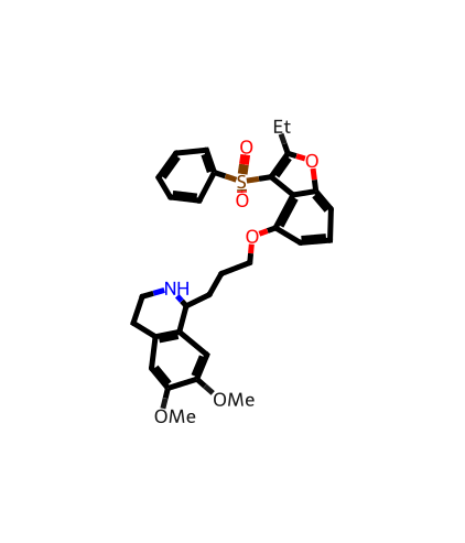 CCc1oc2cccc(OCCCC3NCCc4cc(OC)c(OC)cc43)c2c1S(=O)(=O)c1ccccc1